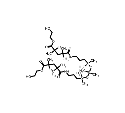 CCC(C)(CC(C)(C)C(=O)NCCC[Si](C)(C)O[Si](C)(C)O[Si](C)(C)CCCNC(=O)C(C)(C)CC(C)(CC)C(=O)OCCO)C(=O)OCCO